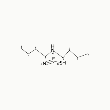 CCCCNCCCC.N#CS